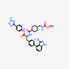 CC(C)(C)OC(=O)NCC1CCC(C(=O)N[C@@H](Cc2ccc(-c3cccc4[nH]nc(N)c34)cc2)C(=O)Nc2ccc(-c3nn[nH]n3)cc2)CC1